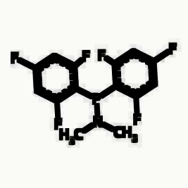 CN(C)P(c1c(F)cc(F)cc1F)c1c(F)cc(F)cc1F